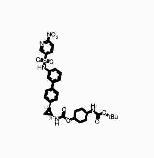 CC(C)(C)OC(=O)NC1CCC(OC(=O)N[C@@H]2C[C@H]2c2ccc(-c3cccc(NS(=O)(=O)c4ccc([N+](=O)[O-])nc4)c3)cc2)CC1